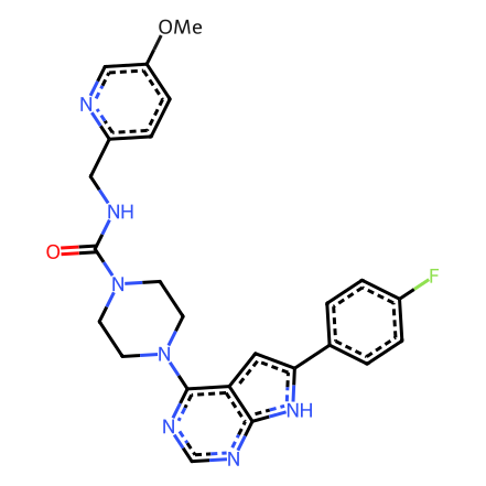 COc1ccc(CNC(=O)N2CCN(c3ncnc4[nH]c(-c5ccc(F)cc5)cc34)CC2)nc1